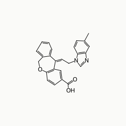 Cc1ccc2c(c1)ncn2CC=C1c2ccccc2COc2ccc(C(=O)O)cc21